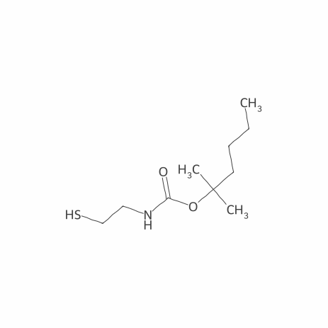 CCCCC(C)(C)OC(=O)NCCS